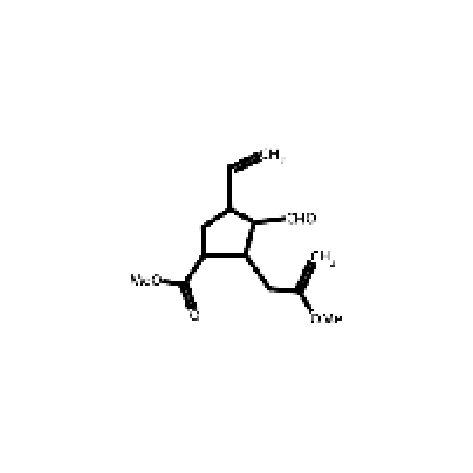 C=CC1CC(C(=O)OC)C(CC(=C)OC)C1C=O